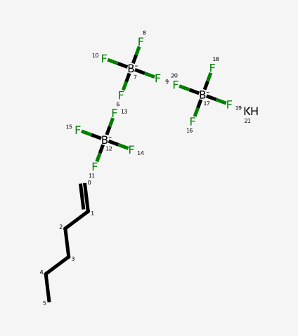 C=CCCCC.F[B-](F)(F)F.F[B-](F)(F)F.F[B-](F)(F)F.[KH]